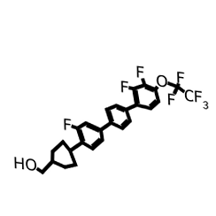 OCC1CCC(c2ccc(-c3ccc(-c4ccc(OC(F)(F)C(F)(F)F)c(F)c4F)cc3)cc2F)CC1